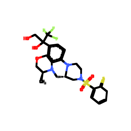 C[C@H]1COCCN1C[C@H]1CN(S(=O)(=O)C2=CC=CCC2=S)CCN1c1ccc(C(O)(CO)C(F)(F)F)cc1